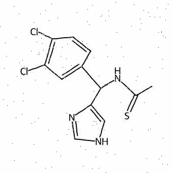 CC(=S)NC(c1ccc(Cl)c(Cl)c1)c1c[nH]cn1